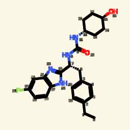 CCc1ccc(C[C@@H](NC(=O)N[C@H]2CC[C@H](O)CC2)c2nc3cc(F)ccc3[nH]2)cc1